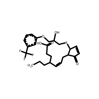 CCCC(/C=C\CC1C(=O)C=CC1SCC(O)COc1cccc(C(F)(F)F)c1)CCC(=O)O